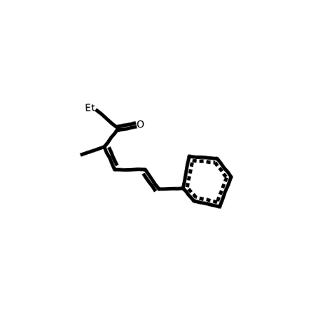 CCC(=O)C(C)=CC=Cc1ccccc1